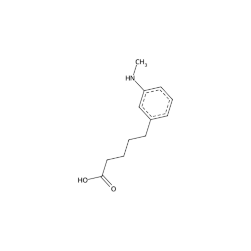 CNc1cccc(CCCCC(=O)O)c1